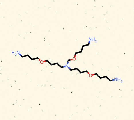 NCCCCOCCCCN(CCCCOCCCCN)COCCCCN